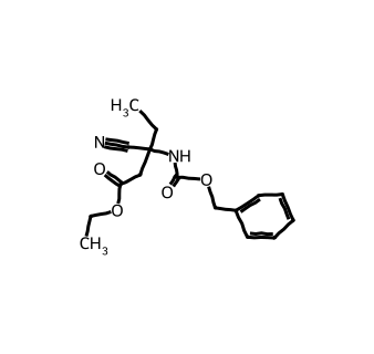 CCOC(=O)CC(C#N)(CC)NC(=O)OCc1ccccc1